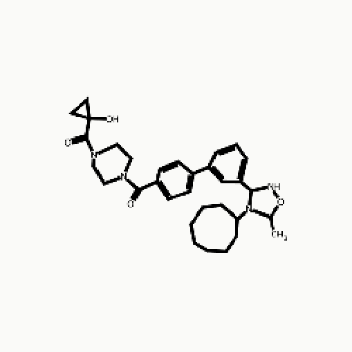 CC1ONC(c2cccc(-c3ccc(C(=O)N4CCN(C(=O)C5(O)CC5)CC4)cc3)c2)N1C1CCCCCCC1